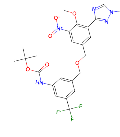 COc1c(-c2ncn(C)n2)cc(COCc2cc(NC(=O)OC(C)(C)C)cc(C(F)(F)F)c2)cc1[N+](=O)[O-]